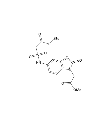 COC(=O)Cn1c(=O)oc2cc(NS(=O)(=O)CC(=O)OC(C)(C)C)ccc21